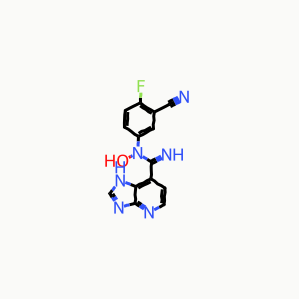 N#Cc1cc(N(O)C(=N)c2ccnc3nc[nH]c23)ccc1F